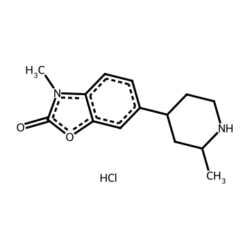 CC1CC(c2ccc3c(c2)oc(=O)n3C)CCN1.Cl